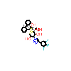 CC(C)(O)C(c1ccccc1-c1ccccc1)[SH]1C[C@H](O)[C@H](n2cc(-c3cc(F)c(F)c(F)c3)nn2)[C@@H](O)[C@H]1CO